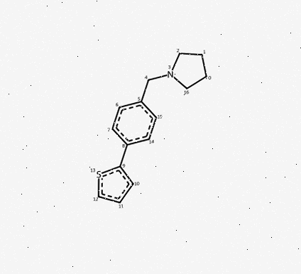 [CH]1CCN(Cc2ccc(-c3cccs3)cc2)C1